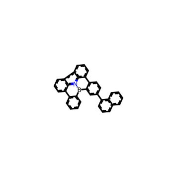 c1ccc2c(c1)B1c3cc(-c4cccc5ccccc45)ccc3-c3cccc4c5cccc-2c5n1c34